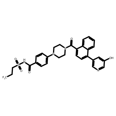 O=C(NS(=O)(=O)CCC(F)(F)F)c1ccc(N2CCN(C(=O)c3ccc(-c4cncc(O)c4)c4ccccc34)CC2)cc1